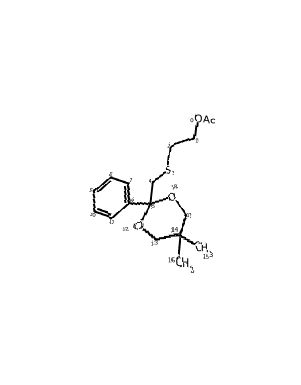 CC(=O)OCCSCC1(c2ccccc2)OCC(C)(C)CO1